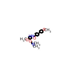 COc1ccc(-c2ccc(C(=O)Nc3ccc(OC)c(OCCN(C)C)c3)cc2)cc1